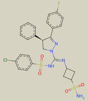 NS(=O)(=O)C1CC(/N=C(\NS(=O)(=O)c2ccc(Cl)cc2)N2C[C@@H](c3ccccc3)C(c3ccc(F)cc3)=N2)C1